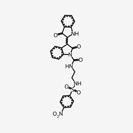 O=C1/C(=C2/C(=O)N(C(=O)NCCNS(=O)(=O)c3ccc([N+](=O)[O-])cc3)c3ccccc32)Nc2ccccc21